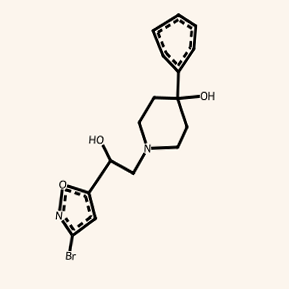 OC(CN1CCC(O)(c2ccccc2)CC1)c1cc(Br)no1